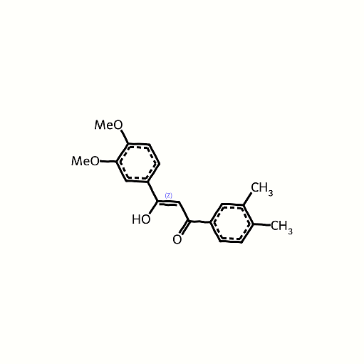 COc1ccc(/C(O)=C/C(=O)c2ccc(C)c(C)c2)cc1OC